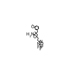 COc1cccc(CC(C)(CCCCc2noc(C(F)(F)F)n2)C(N)=O)c1